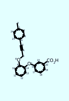 Cc1ccc(C#CCOc2ccccc2Oc2cccc(C(=O)O)c2)cc1